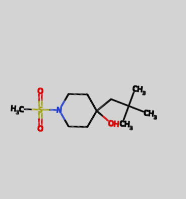 CC(C)(C)CC1(O)CCN(S(C)(=O)=O)CC1